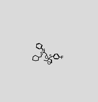 CC1OC=CC1(OCC(=Nc1ccccc1)SCC1CCCCC1)Sc1ccc(F)cc1